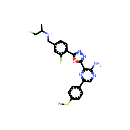 CC(CF)NCc1ccc(-c2nnc(-c3nc(-c4ccc(SC(C)C)cc4)cnc3N)o2)c(F)c1